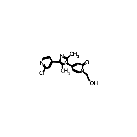 Cc1nc(-c2ccnc(Cl)c2)c(C)n1-c1ccn(CCO)c(=O)c1